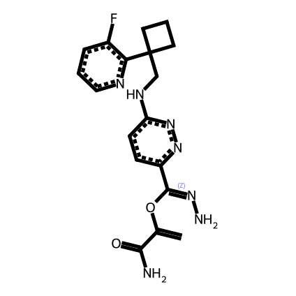 C=C(O/C(=N\N)c1ccc(NCC2(c3ncccc3F)CCC2)nn1)C(N)=O